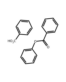 O=C(O)c1ccccc1.O=C(Oc1ccccc1)c1ccccc1